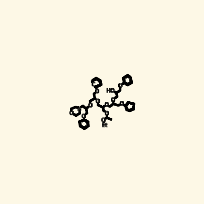 CCOC(C)OCC(COC(COc1ccccc1)COC(COc1ccccc1)CN1CCOCC1)OCC(COc1ccccc1)OCC(O)COc1ccccc1